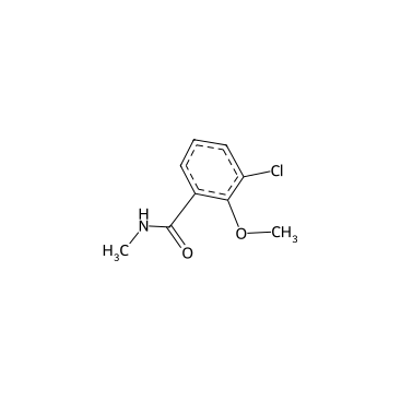 CNC(=O)c1cccc(Cl)c1OC